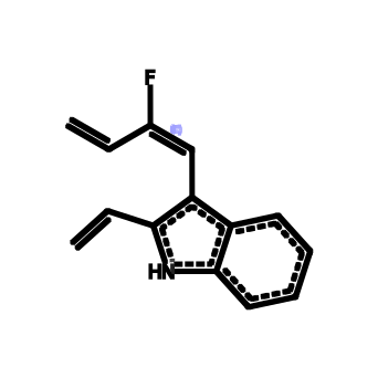 C=C/C(F)=C\c1c(C=C)[nH]c2ccccc12